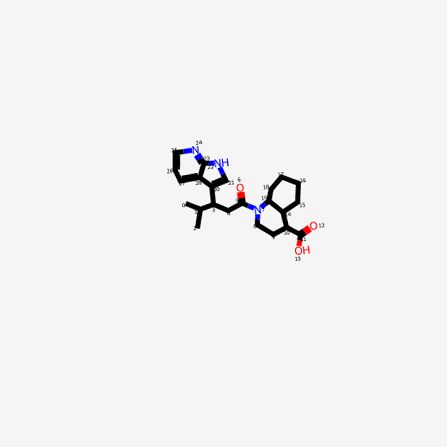 CC(C)C(CC(=O)N1CCC(C(=O)O)C2CCCCC21)c1c[nH]c2ncccc12